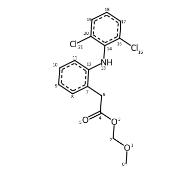 COCOC(=O)Cc1ccccc1Nc1c(Cl)cccc1Cl